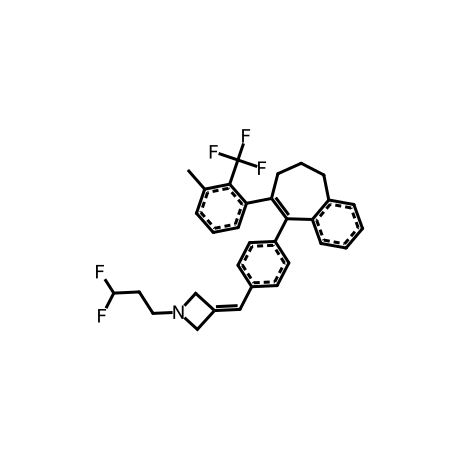 Cc1cccc(C2=C(c3ccc(C=C4CN(CCC(F)F)C4)cc3)c3ccccc3CCC2)c1C(F)(F)F